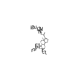 CCCC1(CC)C2CCC3(C)C(C(C)Cn4cc(C(C)CC)cn4)CCC3C2CCC1(C)CC